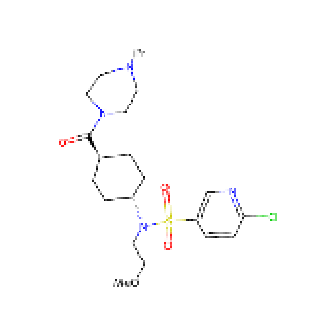 COCCN([C@H]1CC[C@H](C(=O)N2CCN(C(C)C)CC2)CC1)S(=O)(=O)c1ccc(Cl)nc1